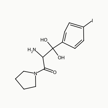 NC(C(=O)N1CCCC1)C(O)(O)c1ccc(I)cc1